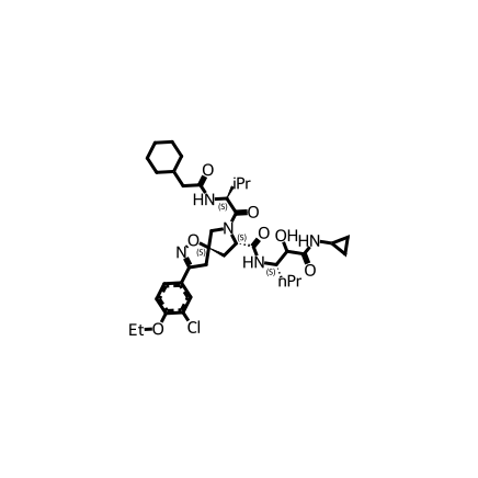 CCC[C@H](NC(=O)[C@@H]1C[C@]2(CC(c3ccc(OCC)c(Cl)c3)=NO2)CN1C(=O)[C@@H](NC(=O)CC1CCCCC1)C(C)C)C(O)C(=O)NC1CC1